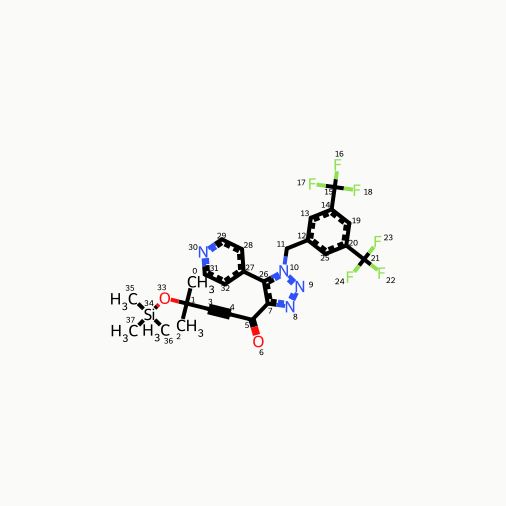 CC(C)(C#CC(=O)c1nnn(Cc2cc(C(F)(F)F)cc(C(F)(F)F)c2)c1-c1ccncc1)O[Si](C)(C)C